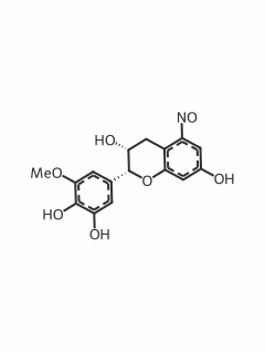 COc1cc([C@H]2Oc3cc(O)cc(N=O)c3C[C@H]2O)cc(O)c1O